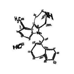 Cc1cccc2c1c1c(n2Cc2cccc3ccccc23)CNCC1.Cl